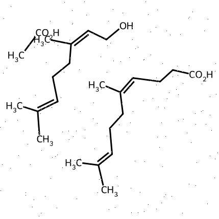 CC(=O)O.CC(C)=CCC/C(C)=C\CCC(=O)O.CC(C)=CCC/C(C)=C\CO